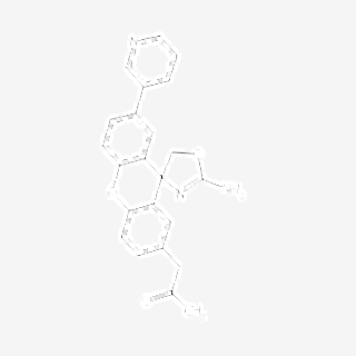 CC(=O)Cc1ccc2c(c1)C1(COC(N)=N1)c1cc(-c3cccnc3)ccc1O2